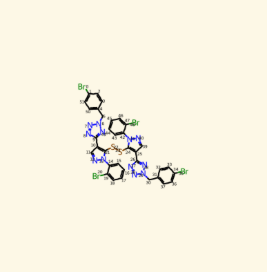 Brc1ccc(Cn2nnc(-c3cnn(-c4ccccc4Br)c3SSc3c(-c4nnn(Cc5ccc(Br)cc5)n4)cnn3-c3ccccc3Br)n2)cc1